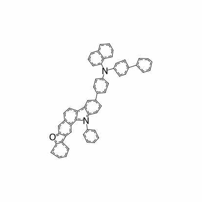 c1ccc(-c2ccc(N(c3ccc(-c4ccc5c(c4)c4ccc6cc7oc8ccccc8c7cc6c4n5-c4ccccc4)cc3)c3cccc4ccccc34)cc2)cc1